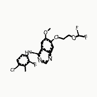 COc1cc2c(Nc3ccc(Cl)c(C)c3F)ncnc2cc1OCCOC(F)F